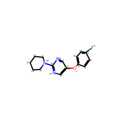 Fc1ccc(Oc2cnc(N3CCCCC3)nc2)cc1